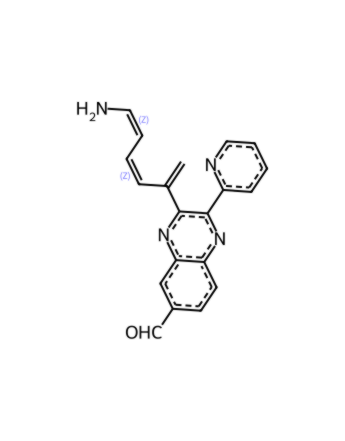 C=C(/C=C\C=C/N)c1nc2cc(C=O)ccc2nc1-c1ccccn1